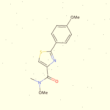 COc1ccc(-c2nc(C(=O)N(C)OC)cs2)cc1